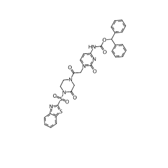 O=C(Nc1ccn(CC(=O)N2CCN(S(=O)(=O)c3nc4ccccc4s3)C(=O)C2)c(=O)n1)OC(c1ccccc1)c1ccccc1